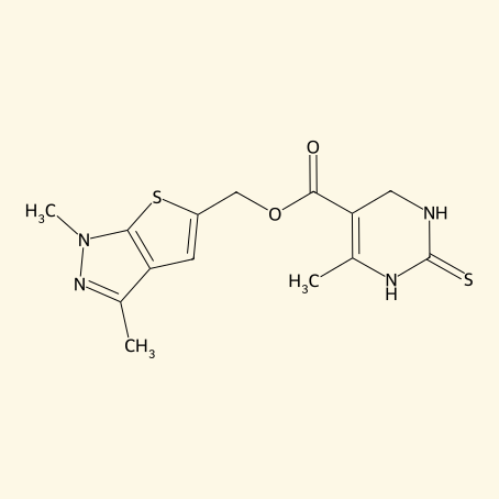 CC1=C(C(=O)OCc2cc3c(C)nn(C)c3s2)CNC(=S)N1